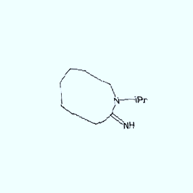 CC(C)N1CCCCCCCC1=N